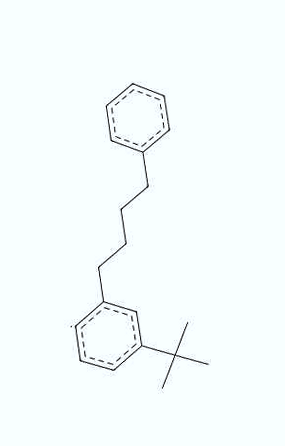 CC(C)(C)c1cc[c]c(CCCCc2ccccc2)c1